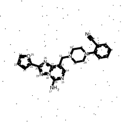 N#Cc1ccccc1N1CCN(Cc2cnc(N)n3nc(-c4ccco4)nc23)CC1